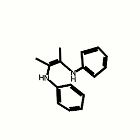 CC(Nc1ccccc1)=C(C)Nc1ccccc1